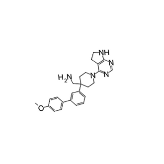 COc1ccc(-c2cccc(C3(CN)CCN(c4ncnc5c4CCN5)CC3)c2)cc1